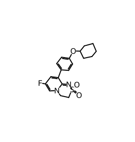 O=S1(=O)CCN2C=C(F)C=C(c3ccc(OC4CCCCC4)cc3)C2=N1